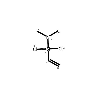 C=C[Si](Cl)(Cl)N(C)C